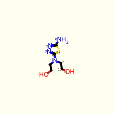 Nc1nnc(N(CCO)CCO)s1